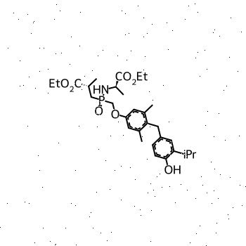 CCOC(=O)[C@H](C)CP(=O)(COc1cc(C)c(Cc2ccc(O)c(C(C)C)c2)c(C)c1)N[C@H](C)C(=O)OCC